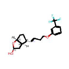 O[C@@H]1C[C@H]2[C@H](CC[C@@H]2/C=C/CCOc2cccc(C(F)(F)F)c2)O1